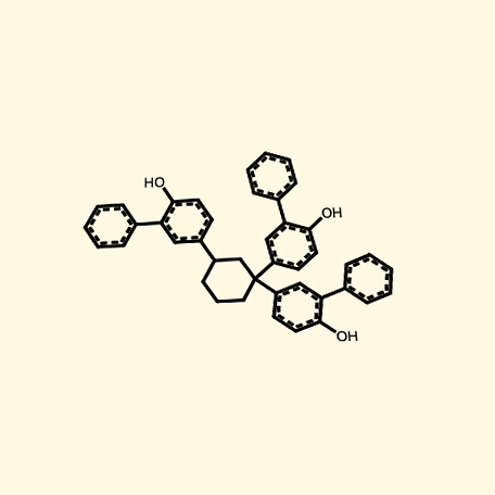 Oc1ccc(C2CCCC(c3ccc(O)c(-c4ccccc4)c3)(c3ccc(O)c(-c4ccccc4)c3)C2)cc1-c1ccccc1